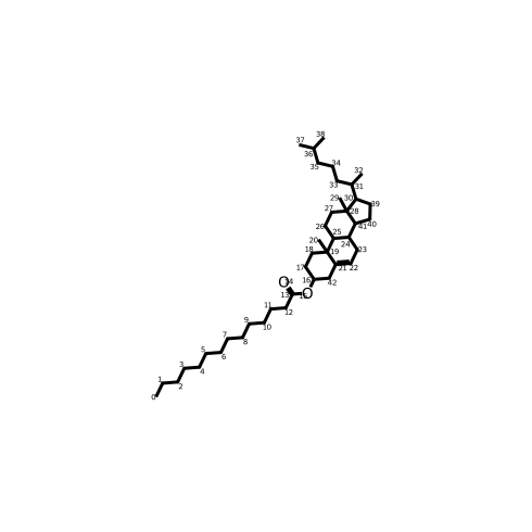 CCCCCCCCCCCCCC(=O)OC1CCC2(C)C(=CCC3C2CCC2(C)C(C(C)CCCC(C)C)CCC32)C1